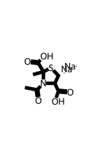 CC(=O)N1C(C(=O)O)CSC1(C)C(=O)O.[Na].[Na]